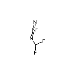 [N-]=[N+]=NC(F)F